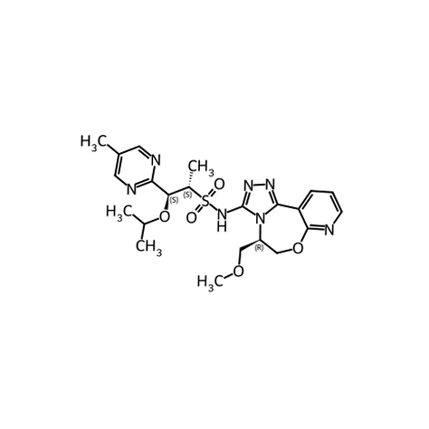 COC[C@@H]1COc2ncccc2-c2nnc(NS(=O)(=O)[C@@H](C)[C@@H](OC(C)C)c3ncc(C)cn3)n21